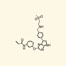 C=CC(=O)Nc1cccc(Oc2cnc3[nH]cc(-c4ccc(CNCCS(C)(=O)=O)cc4)c3n2)c1